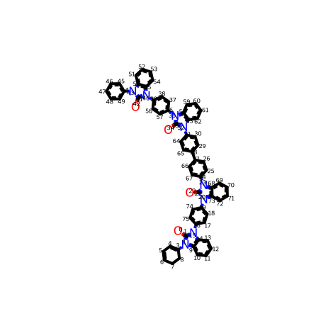 O=c1n(C2=CC=CCC2)c2ccccc2n1-c1ccc(-n2c(=O)n(-c3ccc(-c4ccc(-n5c(=O)n(-c6ccc(-n7c(=O)n(-c8ccccc8)c8ccccc87)cc6)c6ccccc65)cc4)cc3)c3ccccc32)cc1